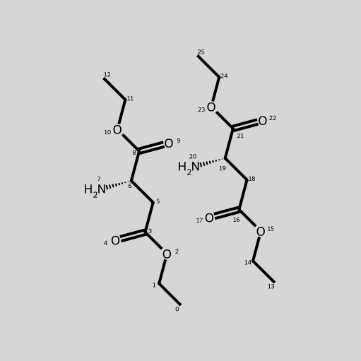 CCOC(=O)C[C@H](N)C(=O)OCC.CCOC(=O)C[C@H](N)C(=O)OCC